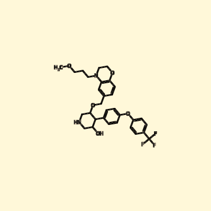 COCCCN1CCOc2ccc(COC3CNCC(O)C3c3ccc(Oc4ccc(C(F)(F)F)cc4)cc3)cc21